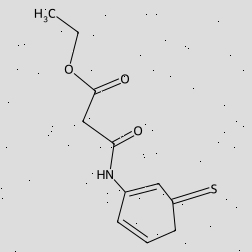 CCOC(=O)CC(=O)NC1=CC(=S)CC=C1